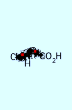 Cc1cc(Oc2cccc([C@@H](C)NC(=O)c3c(C)c4cc(Cl)ccc4n3C)c2)ccc1CCC(=O)O